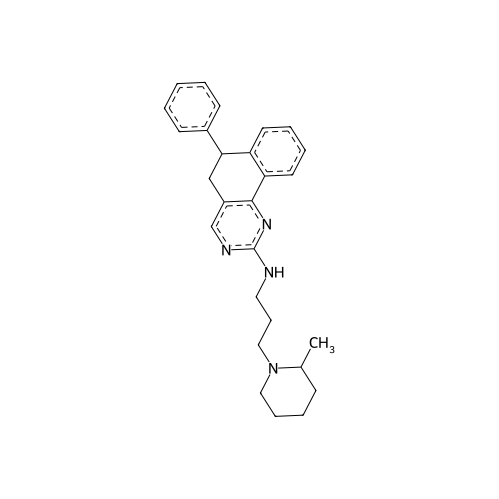 CC1CCCCN1CCCNc1ncc2c(n1)-c1ccccc1C(c1ccccc1)C2